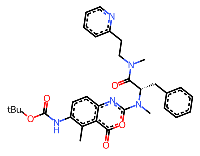 Cc1c(NC(=O)OC(C)(C)C)ccc2nc(N(C)[C@@H](Cc3ccccc3)C(=O)N(C)CCc3ccccn3)oc(=O)c12